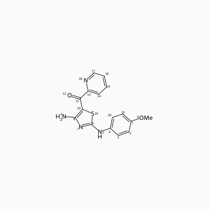 COc1ccc(Nc2nc(N)c(C(=O)c3ccccn3)s2)cc1